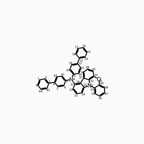 c1ccc(-c2ccc(N(c3ccc(-c4ccccc4)cc3)c3cccc4c3c3cccc5c3n4-c3ccccc3O5)cc2)cc1